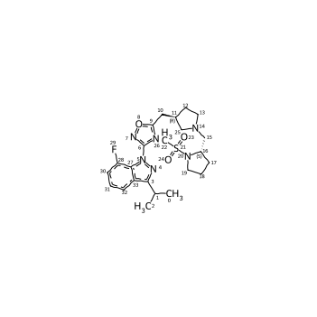 CC(C)c1nn(-c2noc(C[C@H]3CCN(C[C@@H]4CCCN4S(C)(=O)=O)C3)n2)c2c(F)cccc12